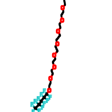 OCCOCCOCCOCCOCCOCCOCCOCCOC(F)(F)C(F)(F)C(F)(F)C(F)(F)C(F)(F)F